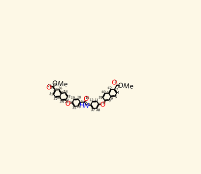 COC(=O)c1ccc2cc(Oc3ccc(NC(=O)c4ccc(Oc5ccc6cc(C(=O)OC)ccc6c5)cc4)cc3)ccc2c1